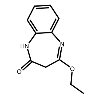 CCOC1=Nc2ccccc2NC(=O)C1